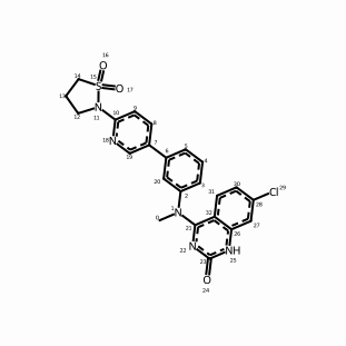 CN(c1cccc(-c2ccc(N3CCCS3(=O)=O)nc2)c1)c1nc(=O)[nH]c2cc(Cl)ccc12